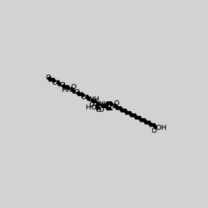 O=[C]COCCOCCNC(=O)COCCOCCNC(=O)C[C@@H](NC(=O)C1CCN(C(=O)CCCCCCCCCCCCCCCCC(=O)O)CC1)C(=O)O